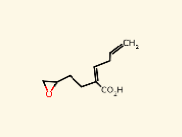 C=CCC=C(CCC1CO1)C(=O)O